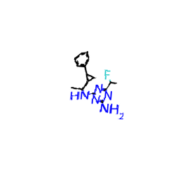 CC(F)c1nc(N)nc(NC(C)C2CC2c2ccccc2)n1